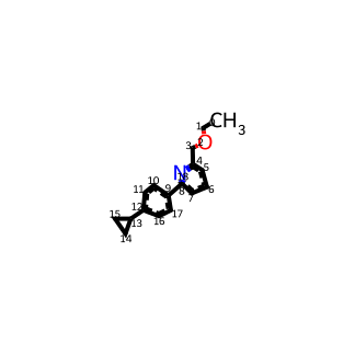 CCOCc1cccc(-c2ccc(C3CC3)cc2)n1